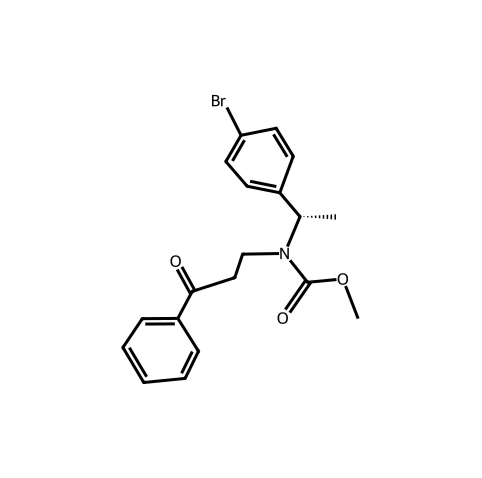 COC(=O)N(CCC(=O)c1ccccc1)[C@@H](C)c1ccc(Br)cc1